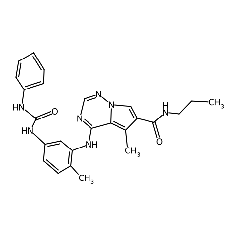 CCCNC(=O)c1cn2ncnc(Nc3cc(NC(=O)Nc4ccccc4)ccc3C)c2c1C